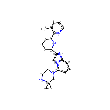 Cc1cccnc1C1CCCC(c2cn3c(N4CCNC5(CC5)C4)cccc3n2)N1